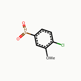 COc1cc([SH](=O)=O)ccc1Cl